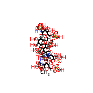 CO[C@@H]1OC(COS(=O)(=O)O)[C@@H](O[C@@H]2OC(C)[C@@H](O[C@@H]3OC(COS(=O)(=O)O)[C@@H](O[C@@H]4OC(C)[C@@H](O[C@@H]5OC(COS(=O)(=O)O)[C@@H](O)[C@H](O)C5NS(=O)(=O)O)[C@H](O)C4O)[C@H](OS(=O)(=O)O)C3NS(=O)(=O)O)C(O)[C@@H]2OS(=O)(=O)O)[C@H](O)C1NS(=O)(=O)O